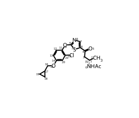 CC(=O)N[C@@H](C)CC(=O)c1cnc(Oc2ccc(OCC3CC3)cc2Cl)s1